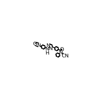 N#CCN(C(=O)c1ccc(-c2ccnc(Nc3ccc(N4CCOCC4)cc3)n2)cc1)c1ccccc1